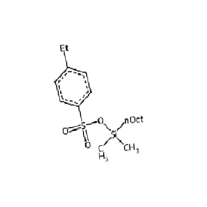 CCCCCCCC[Si](C)(C)OS(=O)(=O)c1ccc(CC)cc1